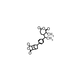 CC1C(=O)OC(=O)CCC1C(C)c1ccc(C2CC3CC2C2C(=O)OC(=O)C32)cc1